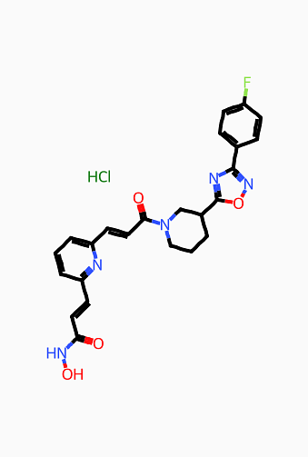 Cl.O=C(/C=C/c1cccc(/C=C/C(=O)N2CCCC(c3nc(-c4ccc(F)cc4)no3)C2)n1)NO